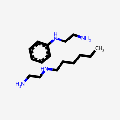 CCCCCCNCCN.NCCNc1ccccc1